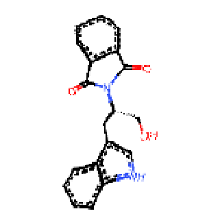 O=C1c2ccccc2C(=O)N1[C@H](CO)Cc1c[nH]c2ccccc12